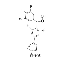 CCCCCc1ccc(-c2cc(F)c(C(OO)c3cc(F)c(F)c(F)c3)c(F)c2)cc1